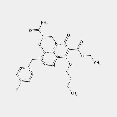 CCCCOc1c(C(=O)OCC)c(=O)n2c3c(c(Cc4ccc(F)cc4)cnc13)OC(C(N)=O)=C2